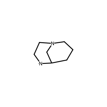 C1CC2CN(C1)CC[N]2